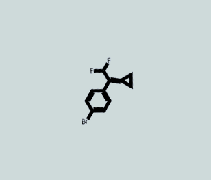 FC(F)C(=C1CC1)c1ccc(Br)cc1